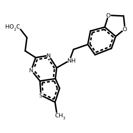 Cc1cc2c(NCc3ccc4c(c3)OCO4)nc(CCC(=O)O)nc2s1